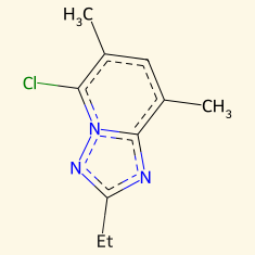 CCc1nc2c(C)cc(C)c(Cl)n2n1